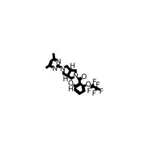 Cc1cc(C)nc(N2C[C@H]3CN(C(=O)c4c(O)cccc4OC(F)(F)C(F)(F)F)C[C@H]3C2)n1